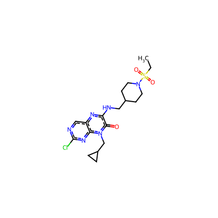 CCS(=O)(=O)N1CCC(CNc2nc3cnc(Cl)nc3n(CC3CC3)c2=O)CC1